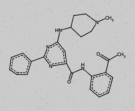 CC(=O)c1ccccc1NC(=O)c1cc(NC2CCN(C)CC2)nc(-c2ccccc2)n1